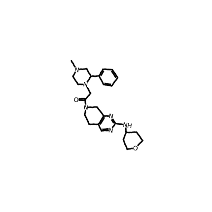 CN1CCN(CC(=O)N2CCc3cnc(NC4CCOCC4)nc3C2)C(c2ccccc2)C1